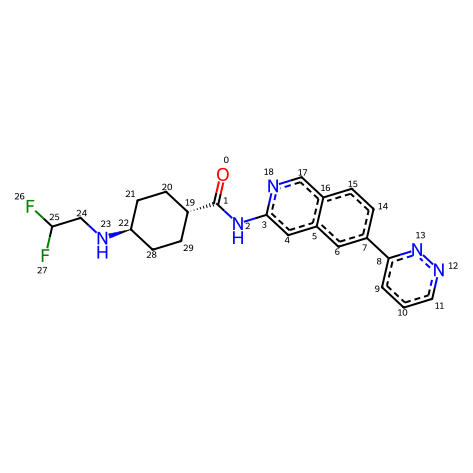 O=C(Nc1cc2cc(-c3cccnn3)ccc2cn1)[C@H]1CC[C@H](NCC(F)F)CC1